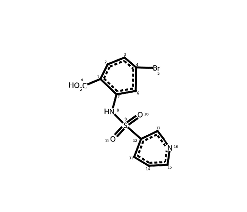 O=C(O)c1ccc(Br)cc1NS(=O)(=O)c1cccnc1